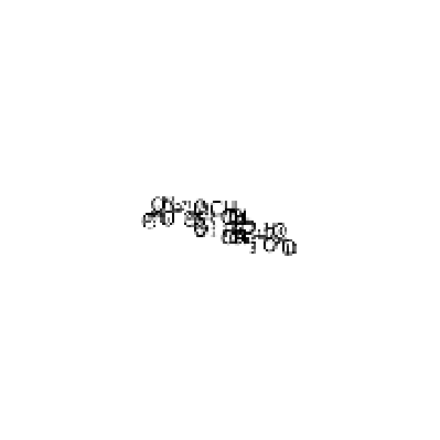 CC(CC(C)(C)S(=O)(=O)OCC1COC(=O)O1)S(=O)(=O)OCC1COC(=O)O1